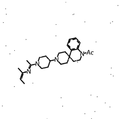 C/C=C(C)\N=C(/C)N1CCC(N2CCC3(CCN(C(C)=O)c4ccccc43)CC2)CC1